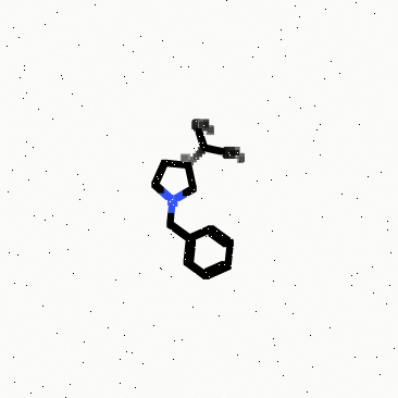 CC(C)[C@H]1CCN(Cc2ccccc2)C1